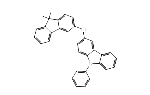 CC1(C)c2ccccc2-c2cc(Nc3ccc4c(c3)c3ccccc3n4-c3ccccc3)ccc21